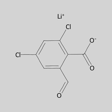 O=Cc1cc(Cl)cc(Cl)c1C(=O)[O-].[Li+]